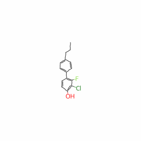 CCCc1ccc(-c2ccc(O)c(Cl)c2F)cc1